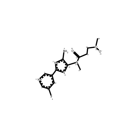 Bc1nc(-c2cncc(F)c2)sc1N(C)C(=O)CC[S+](C)[O-]